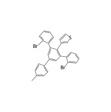 Cc1ccc(-c2cc(-c3ccccc3Br)c(-c3ccsc3)c(-c3ccccc3Br)c2)cc1